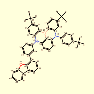 CC(C)(C)c1ccc(N2c3cc(C(C)(C)C)ccc3B3c4cc(C(C)(C)C)ccc4N(c4cccc(-c5cccc6c5oc5ccccc56)c4)c4cccc2c43)cc1